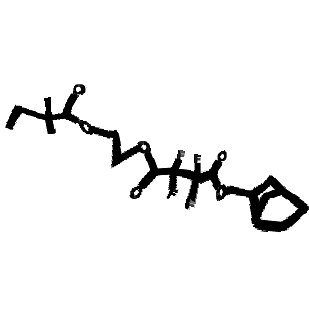 CCC(C)(C)C(=O)OCCOC(=O)C(F)(F)C(F)(F)C(=O)OC1CC2CCC1C2